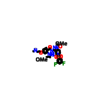 COCC(C)Nc1cc(OCCN(C)C)ccc1C(=O)Nc1nn(C(=O)OC)c2c1CN(S(=O)(=O)c1cc(F)cc(F)c1)CC2